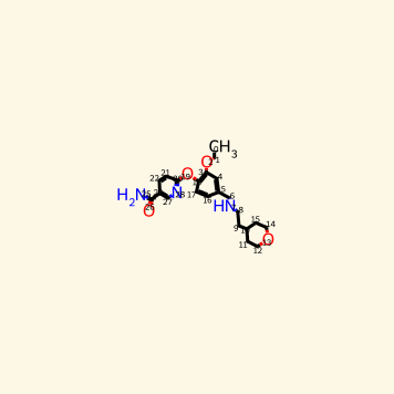 CCOc1cc(CNCCC2CCOCC2)ccc1Oc1ccc(C(N)=O)cn1